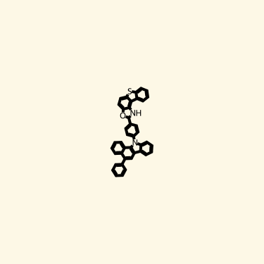 c1ccc(-c2cc3c4ccccc4n(-c4ccc(C5Nc6c(ccc7sc8ccccc8c67)O5)cc4)c3c3ccccc23)cc1